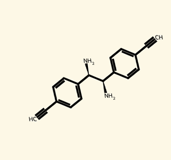 C#Cc1ccc([C@@H](N)[C@H](N)c2ccc(C#C)cc2)cc1